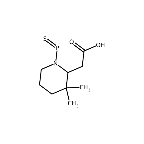 CC1(C)CCCN(P=S)C1CC(=O)O